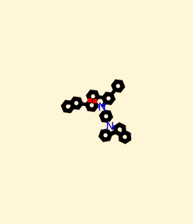 c1ccc(-c2ccc(N(c3ccc(-c4ccc5ccccc5c4)cc3)c3ccc(-n4c5ccccc5c5c6ccccc6ccc54)cc3)c(-c3ccccc3)c2)cc1